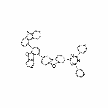 c1ccc(-c2nc(-c3ccccc3)nc(-c3ccc4c(c3)oc3ccc(-c5ccc(-c6cccc7sc8ccccc8c67)c6oc7ccccc7c56)cc34)n2)cc1